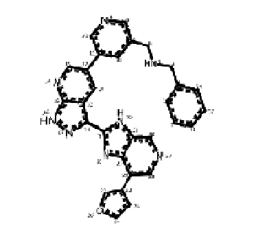 c1ccc(CNCc2cncc(-c3cnc4[nH]nc(-c5nc6c(-c7ccoc7)cncc6[nH]5)c4c3)c2)cc1